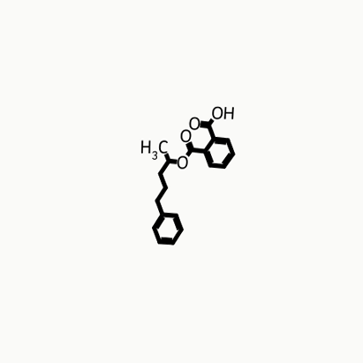 CC(CCCc1ccccc1)OC(=O)c1ccccc1C(=O)O